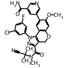 COc1cc2c(cc1-c1cncc(C(N)=O)c1)-c1c(c(C(=O)N(C)C(C)(C)C#N)nn1-c1cc(F)cc(Cl)c1)CO2